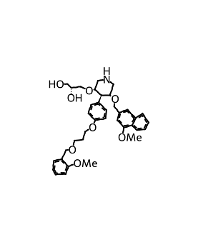 COc1ccccc1COCCCOc1ccc([C@@H]2[C@@H](OCc3cc(OC)c4ccccc4c3)CNC[C@H]2OC[C@H](O)CO)cc1